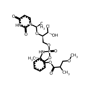 COCC(C)C(=O)OC[C@H](C)NP(=O)(OC[C@@H](O[C@H](C)n1ccc(=O)[nH]c1=O)[C@@H](O)Cl)Oc1ccccc1